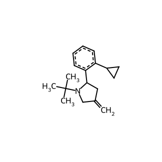 C=C1CC(c2ccccc2C2CC2)N(C(C)(C)C)C1